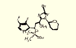 CC(C)(C)[Si](C)(C)OC(CC(O)c1nc(Br)nn1C1CCCCO1)c1cccc(F)c1F